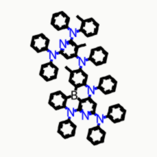 Cc1cc2c(cc1N(c1ccccc1)c1cc(N(c3ccccc3)c3ccccc3)nc(N(c3ccccc3)c3ccccc3C)c1C)N(c1ccccc1)c1cc(N(c3ccccc3)c3ccccc3)nc3c1B2c1ccccc1N3c1ccccc1